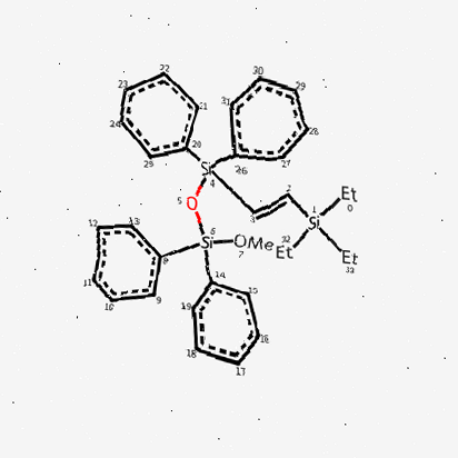 CC[Si](C=C[Si](O[Si](OC)(c1ccccc1)c1ccccc1)(c1ccccc1)c1ccccc1)(CC)CC